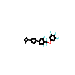 Fc1cc(OC(F)(F)c2c(F)cc(-c3ccc(C4CCC4)cc3)cc2F)cc(F)c1F